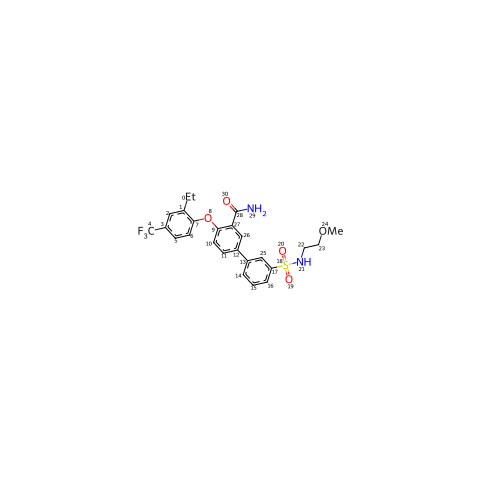 CCc1cc(C(F)(F)F)ccc1Oc1ccc(-c2cccc(S(=O)(=O)NCCOC)c2)cc1C(N)=O